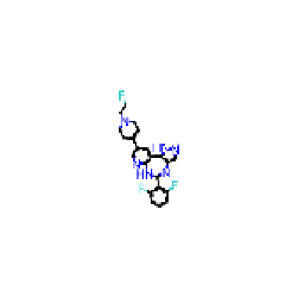 FCCN1CC=C(c2cnc3c(c2)-c2[nH]ncc2N=C(c2c(F)cccc2F)N3)CC1